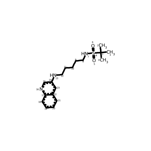 CC(C)(C)S(=O)(=O)NCCCCCNc1cnc2ccccc2c1